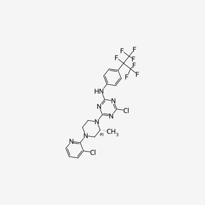 C[C@@H]1CN(c2ncccc2Cl)CCN1c1nc(Cl)nc(Nc2ccc(C(F)(C(F)(F)F)C(F)(F)F)cc2)n1